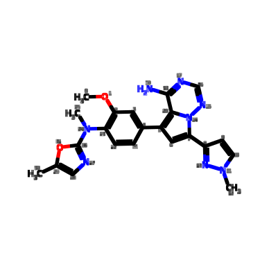 COc1cc(-c2cc(-c3ccn(C)n3)n3ncnc(N)c23)ccc1N(C)c1ncc(C)o1